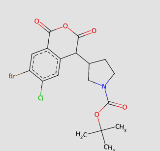 CC(C)(C)OC(=O)N1CCC(C2C(=O)OC(=O)c3cc(Br)c(Cl)cc32)C1